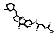 O=C(O)C=CC(=O)Nc1ccc2c(=O)n3c(nc2c1)C(=Cc1cccc(Cl)c1)CC3